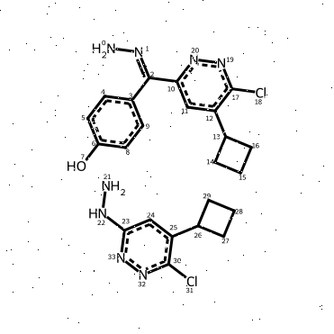 N/N=C(\c1ccc(O)cc1)c1cc(C2CCC2)c(Cl)nn1.NNc1cc(C2CCC2)c(Cl)nn1